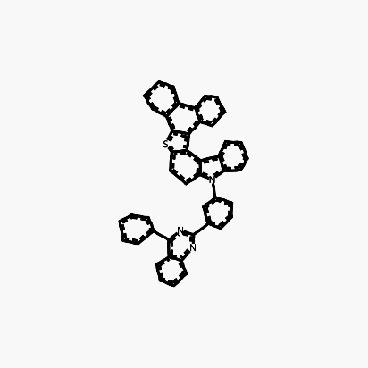 c1ccc(-c2nc(-c3cccc(-n4c5ccccc5c5c6c(ccc54)sc4c5ccccc5c5ccccc5c46)c3)nc3ccccc23)cc1